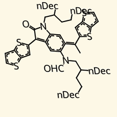 CCCCCCCCCCCCC(CCCCCCCCCC)CN(C=O)c1cc2c(c/c1=C(/C)c1cc3sccc3s1)N(CC(CCCCCCCCCC)CCCCCCCCCCCC)C(=O)C=2c1cc2sccc2s1